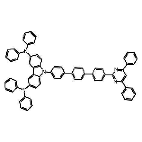 c1ccc(-c2cc(-c3ccccc3)nc(-c3ccc(-c4ccc(-c5ccc(-n6c7ccc(N(c8ccccc8)c8ccccc8)cc7c7cc(N(c8ccccc8)c8ccccc8)ccc76)cc5)cc4)cc3)n2)cc1